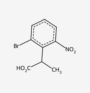 CC(C(=O)O)c1c(Br)cccc1[N+](=O)[O-]